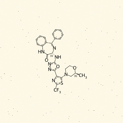 C[C@H]1CN(c2sc(C(F)(F)F)nc2-c2nnc(N[C@H]3N=C(c4ccccc4)c4ccccc4NC3=O)o2)CCO1